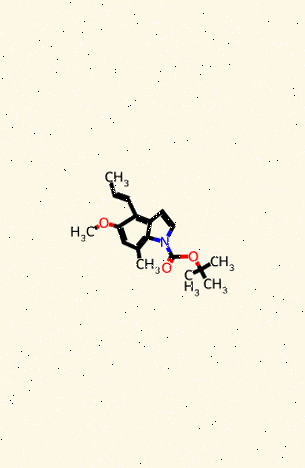 CC=Cc1c(OC)cc(C)c2c1ccn2C(=O)OC(C)(C)C